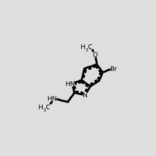 CNCc1nc2cc(Br)c(OC)cc2[nH]1